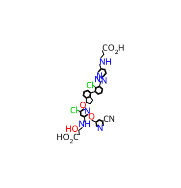 N#Cc1cncc(COc2nc(O[C@H]3CCc4c(-c5cccc(-c6nc7ccc(CNCCCC(=O)O)cn7n6)c5Cl)cccc43)c(Cl)cc2CNC[C@@H](O)CC(=O)O)c1